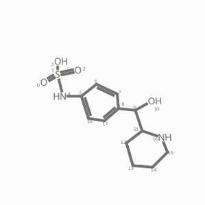 O=S(=O)(O)Nc1ccc(C(O)C2CCCCN2)cc1